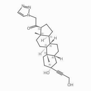 C[C@]12CC[C@](O)(C#CCO)C[C@H]1CC[C@@H]1[C@@H]2CC[C@]2(C)[C@@H](C(=O)Cn3ccnn3)CC[C@@H]12